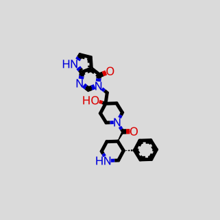 O=C([C@@H]1CCNC[C@H]1c1ccccc1)N1CCC(O)(Cn2cnc3[nH]ccc3c2=O)CC1